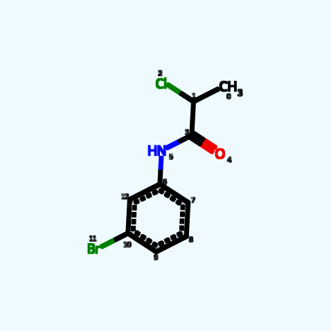 CC(Cl)C(=O)Nc1cccc(Br)c1